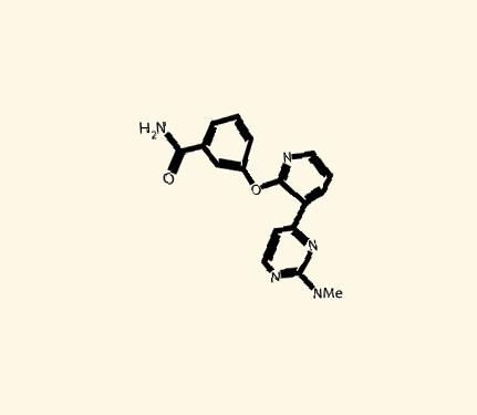 CNc1nccc(-c2cccnc2Oc2cccc(C(N)=O)c2)n1